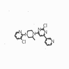 CC1CN(c2ncccc2Cl)CCN1c1cc(-c2cccnc2)nc(Cl)n1